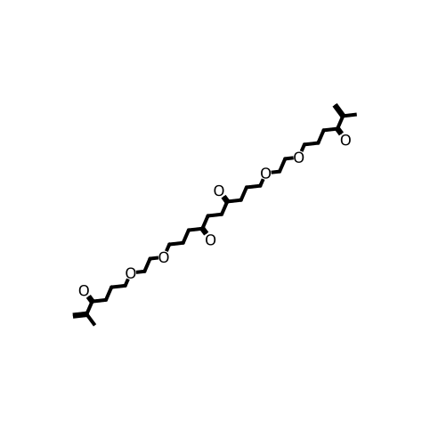 C=C(C)C(=O)CCCOCCOCCCC(=O)CCC(=O)CCCOCCOCCCC(=O)C(=C)C